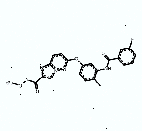 Cc1ccc(Oc2ccc3nc(C(=O)NOC(C)(C)C)cn3n2)cc1NC(=O)c1cccc(F)c1